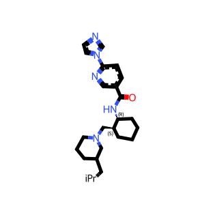 CC(C)CC1CCCN(C[C@@H]2CCCC[C@H]2NC(=O)c2ccc(-n3ccnc3)nc2)C1